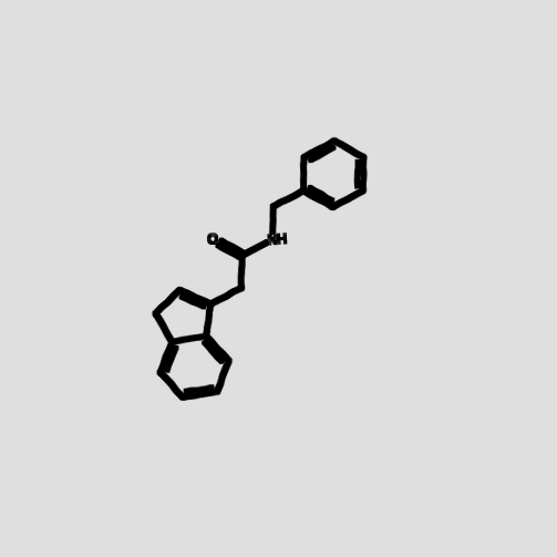 O=C(CC1=CCc2ccccc21)NCc1ccccc1